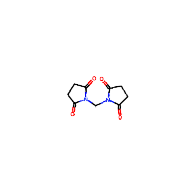 O=C1CCC(=O)N1[CH]N1C(=O)CCC1=O